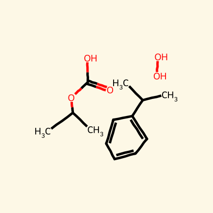 CC(C)OC(=O)O.CC(C)c1ccccc1.OO